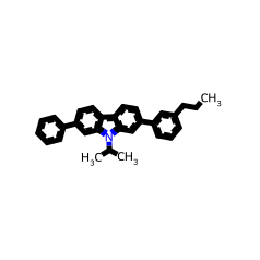 CCCc1cccc(-c2ccc3c4ccc(-c5ccccc5)cc4n(C(C)C)c3c2)c1